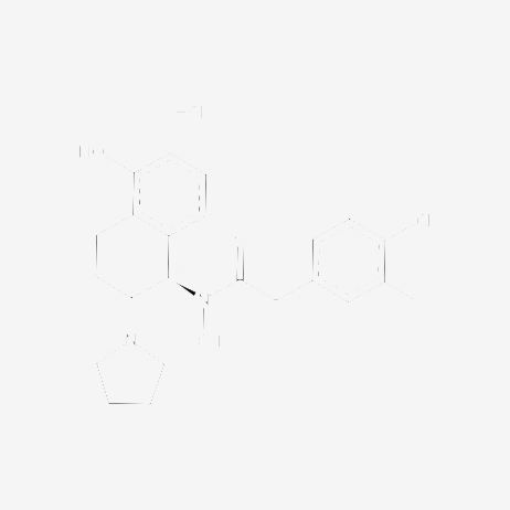 CN(C(=O)Cc1ccc(Cl)c(Cl)c1)[C@@H]1c2cccc(O)c2CC[C@H]1N1CCCC1.Cl